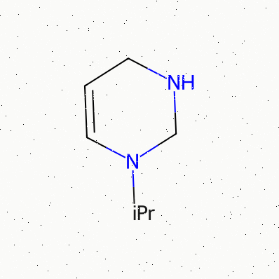 CC(C)N1C=CCNC1